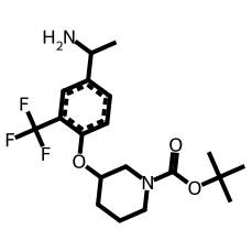 CC(N)c1ccc(OC2CCCN(C(=O)OC(C)(C)C)C2)c(C(F)(F)F)c1